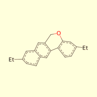 CCc1ccc2c(c1)OCc1cc3cc(CC)ccc3cc1-2